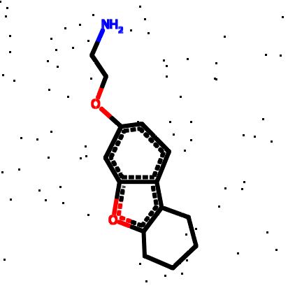 NCCOc1ccc2c3c(oc2c1)CCCC3